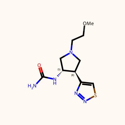 COCCN1C[C@@H](NC(N)=O)[C@H](c2csnn2)C1